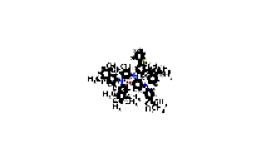 Cc1cc2c3c(c1)N(c1cc4c(cc1C)C(C)(C)CCC4(C)C)c1cc4c(cc1B3c1ccc(N(c3ccc(C(C)(C)C)cc3)c3ccc(C(C)(C)C)cc3)cc1N2c1cc(C(C)(C)C)c2sc3ccccc3c2c1)C(C)(C)CC4(C)C